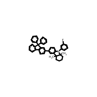 CC12CCCCC1(C)N(c1cccc(F)c1)c1ccc(-c3ccc4c(c3)C(c3ccccc3)(c3ccccc3)c3ccccc3-4)cc12